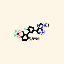 CCn1cnc2c(-c3ccc(F)c(-c4c(OC)ccc5c4COC(F)(F)O5)c3)cnnc21